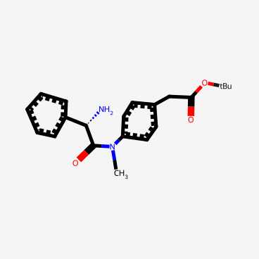 CN(C(=O)[C@@H](N)c1ccccc1)c1ccc(CC(=O)OC(C)(C)C)cc1